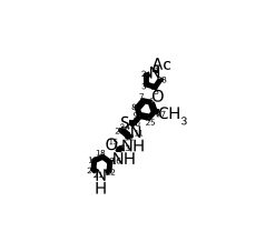 CC(=O)N1CC[C@@H](Oc2ccc(-c3nc(NC(=O)N[C@H]4CCCNC4)cs3)cc2C)C1